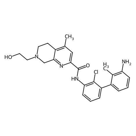 Cc1cc(C(=O)Nc2cccc(-c3cccc(N)c3C)c2Cl)nc2c1CCN(CCO)C2